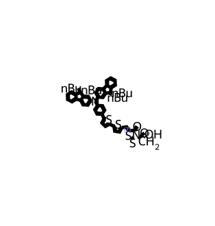 C=C(OO)N1C(=O)/C(=C/c2ccc(-c3ccc(-c4ccc(N(c5ccc6c(c5)C(CCCC)(CCCC)c5ccccc5-6)c5ccc6c(c5)C(CCCC)(CCCC)c5ccccc5-6)cc4)s3)s2)SC1=S